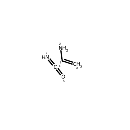 C=CN.N=C=O